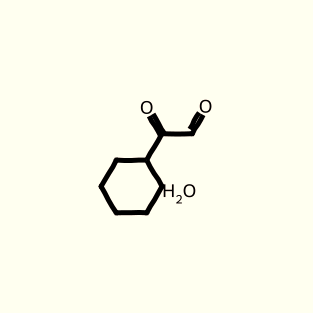 O.O=CC(=O)C1CCCCC1